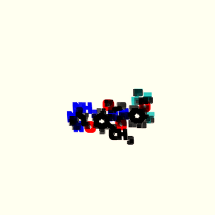 CCc1cc(Oc2cc(N)ncn2)ccc1N1C(=O)CN(c2ccc(F)c(OC(F)(F)F)c2)C1=O